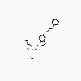 CC(C)(C)[Si](C)(C)OC[C@@H](CCn1ccc2cc(OCCCc3ccccc3)ccc21)n1cnc(C(N)=O)c1